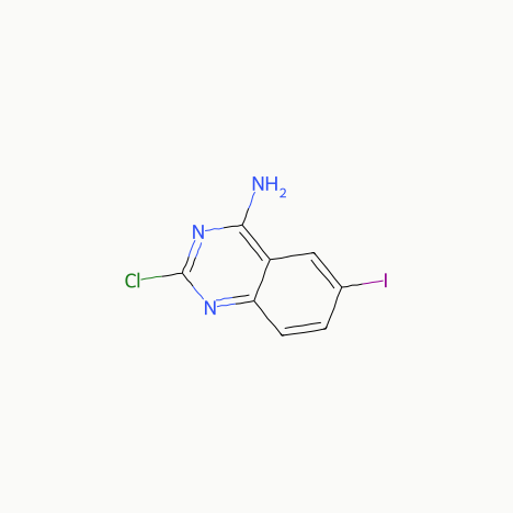 Nc1nc(Cl)nc2ccc(I)cc12